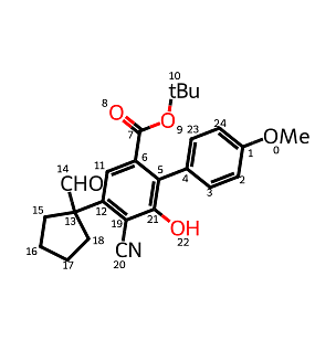 COc1ccc(-c2c(C(=O)OC(C)(C)C)cc(C3(C=O)CCCC3)c(C#N)c2O)cc1